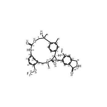 Cc1cc2ccc1[C@@H](C)COC(=O)Nc1ccc(OC(F)(F)F)c(c1)CN(C)C(=O)[C@@H]2Nc1cc2c(cc1F)CNC2=O